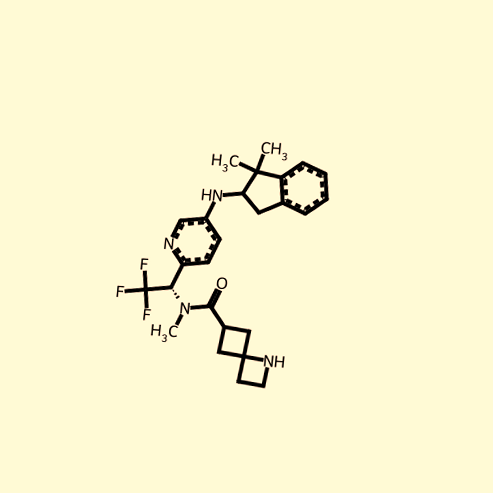 CN(C(=O)C1CC2(CCN2)C1)[C@@H](c1ccc(NC2Cc3ccccc3C2(C)C)cn1)C(F)(F)F